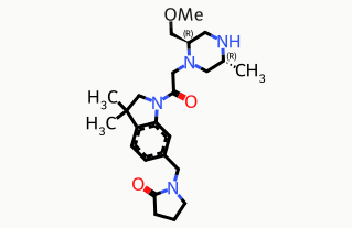 COC[C@H]1CN[C@H](C)CN1CC(=O)N1CC(C)(C)c2ccc(CN3CCCC3=O)cc21